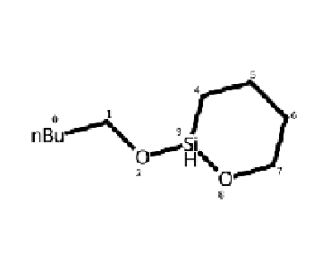 CCCCCO[SiH]1CCCCO1